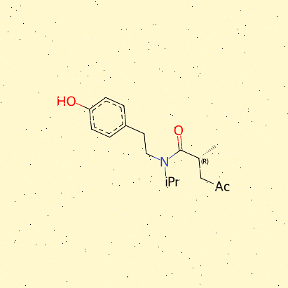 CC(=O)C[C@@H](C)C(=O)N(CCc1ccc(O)cc1)C(C)C